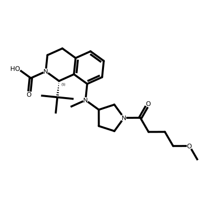 COCCCC(=O)N1CCC(N(C)c2cccc3c2[C@H](C(C)(C)C)N(C(=O)O)CC3)C1